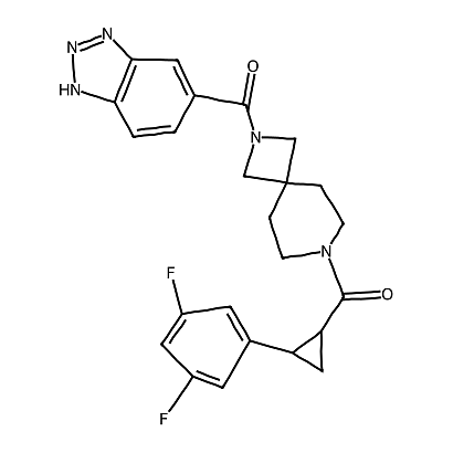 O=C(c1ccc2[nH]nnc2c1)N1CC2(CCN(C(=O)C3CC3c3cc(F)cc(F)c3)CC2)C1